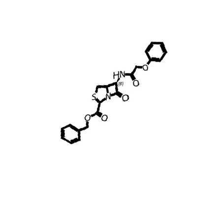 O=C(COc1ccccc1)N[C@H]1C(=O)N2C(C(=O)OCc3ccccc3)SCC12